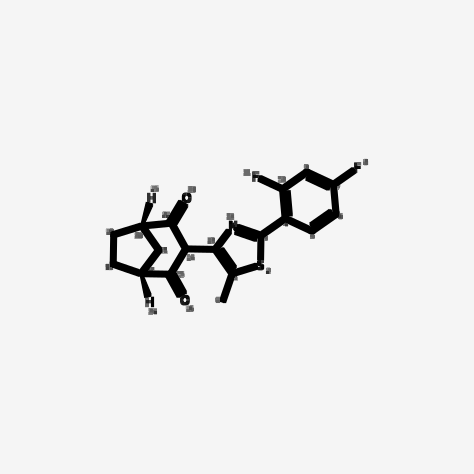 Cc1sc(-c2ccc(F)cc2F)nc1C1C(=O)[C@@H]2CC[C@@H](C2)C1=O